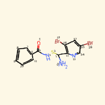 NC(SNC(=O)c1ccccc1)c1ncc(Br)cc1Br